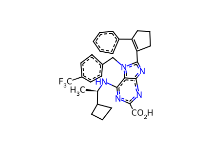 C[C@@H](Nc1nc(C(=O)O)nc2nc(C3=C(c4ccccc4)CCC3)n(Cc3ccc(C(F)(F)F)cc3)c12)C1CCC1